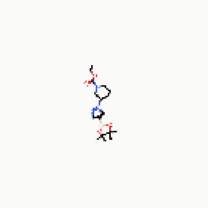 CCOC(=O)N1CCCC(n2cc(B3OC(C)(C)C(C)(C)O3)cn2)C1